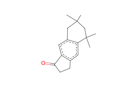 CC1(C)Cc2cc3c(cc2C(C)(C)C1)CCC3=O